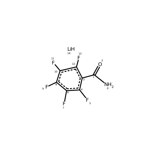 NC(=O)c1c(F)c(F)c(F)c(F)c1F.[LiH]